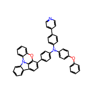 c1ccc(Oc2ccc(N(c3ccc(-c4ccncc4)cc3)c3ccc(-c4ccc5c6ccccc6n6c5c4Oc4ccccc4-6)cc3)cc2)cc1